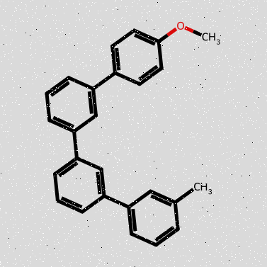 COc1ccc(-c2cccc(-c3cccc(-c4cccc(C)c4)c3)c2)cc1